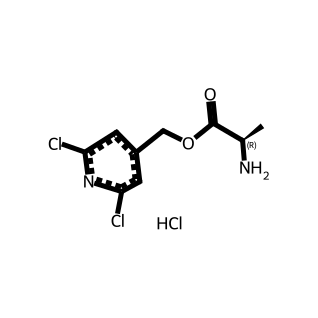 C[C@@H](N)C(=O)OCc1cc(Cl)nc(Cl)c1.Cl